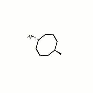 C[C@H]1CCC[C@H](N)CCC1